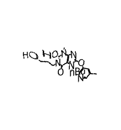 CCCCn1c(Oc2cncc(C)c2)nc2c1C(=O)N(CCCO)C(O)N2C